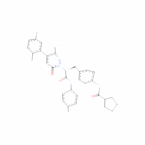 COc1nn([C@@H](Cc2ccc(NC(=O)C3CCCC3)cc2)C(=O)Nc2ccc(C(=O)O)cc2)c(=O)cc1-c1cc(Cl)ccc1C(C)=O